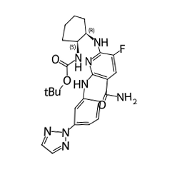 CC(C)(C)OC(=O)N[C@H]1CCCC[C@H]1Nc1nc(Nc2cccc(-n3nccn3)c2)c(C(N)=O)cc1F